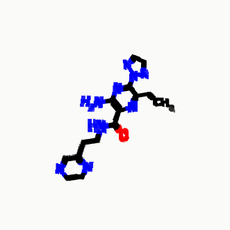 C=Cc1nc(C(=O)NCCc2cnccn2)c(N)nc1-n1nccn1